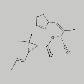 C#CC(OC(=O)C1C(C=CC)C1(C)C)C(C)=CC1C=CCC1